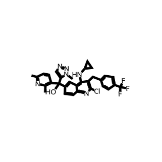 Cc1ccc(C(O)(c2ccc3nc(Cl)c(Cc4ccc(C(F)(F)F)cc4)c(NC4CC4)c3c2)c2cnnn2C)c(C)n1